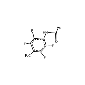 CC(=O)C(=O)Nc1c(F)c(F)c(C(F)(F)F)c(F)c1F